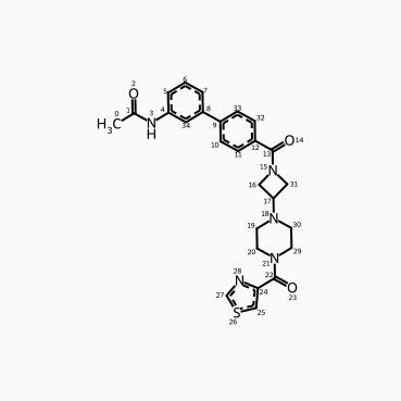 CC(=O)Nc1cccc(-c2ccc(C(=O)N3CC(N4CCN(C(=O)c5cscn5)CC4)C3)cc2)c1